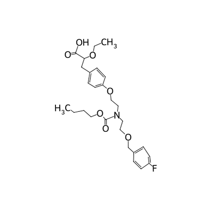 CCCCOC(=O)N(CCOCc1ccc(F)cc1)CCOc1ccc(CC(OCC)C(=O)O)cc1